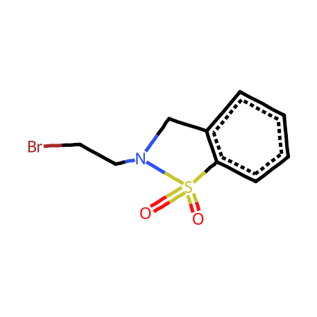 O=S1(=O)c2ccccc2CN1CCBr